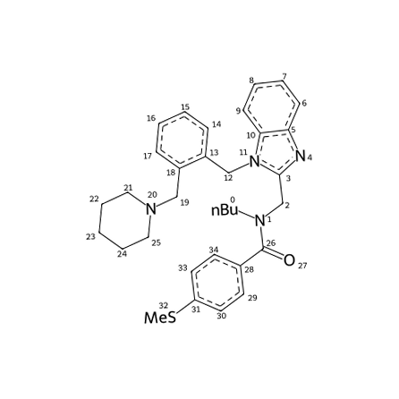 CCCCN(Cc1nc2ccccc2n1Cc1ccccc1CN1CCCCC1)C(=O)c1ccc(SC)cc1